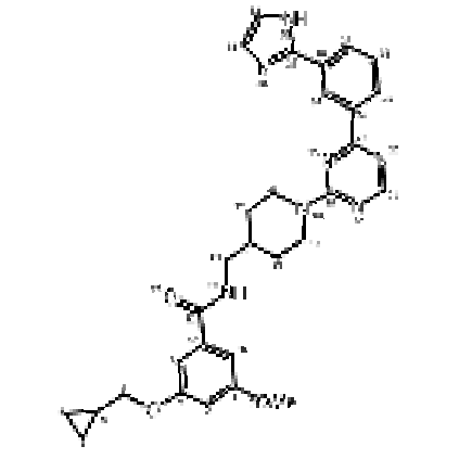 COc1cc(OCC2CC2)cc(C(=O)NCC2CCN(c3ncnc(-c4cccc(-c5ncc[nH]5)c4)n3)CC2)c1